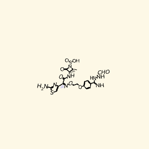 C[C@H]1[C@H](NC(=O)/C(=N\OCCOc2ccc(C(=N)NNC=O)cc2)c2csc(N)n2)C(=O)N1S(=O)O